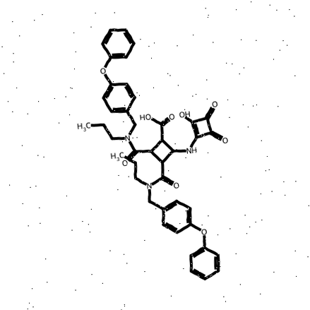 CCCN(Cc1ccc(Oc2ccccc2)cc1)C(=O)C1C(Nc2c(O)c(=O)c2=O)C(C(=O)O)C1C(=O)N(CCC)Cc1ccc(Oc2ccccc2)cc1